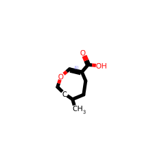 CC1CCO/C=C(/C(=O)O)CC1